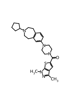 Cc1nn(C)c2sc(C(=O)N3CCN(c4ccc5c(c4)CCN(C4CCCC4)CC5)CC3)cc12